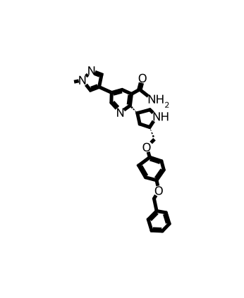 Cn1cc(-c2cnc([C@@H]3CN[C@H](COc4ccc(OCc5ccccc5)cc4)C3)c(C(N)=O)c2)cn1